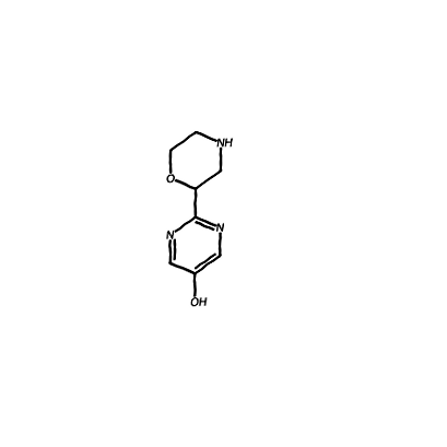 Oc1cnc(C2CNCCO2)nc1